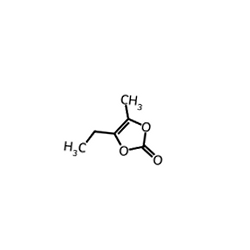 CCc1oc(=O)oc1C